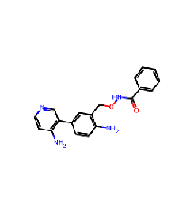 Nc1ccc(-c2cnccc2N)cc1CONC(=O)c1ccccc1